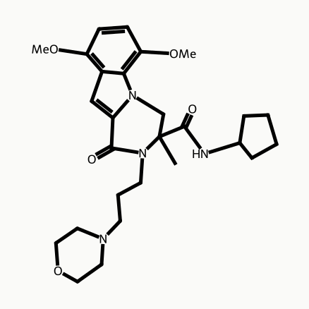 COc1ccc(OC)c2c1cc1n2CC(C)(C(=O)NC2CCCC2)N(CCCN2CCOCC2)C1=O